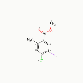 COC(=O)c1cc(I)c(Cl)cc1C